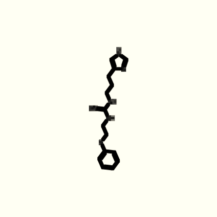 N=C(NCCCc1c[nH]cn1)NCCSc1ccccc1